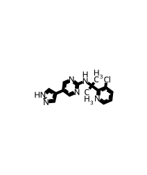 CC(C)(Nc1ncc(-c2cn[nH]c2)cn1)c1ncccc1Cl